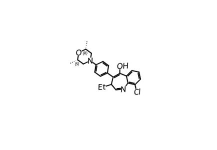 CCC1C=Nc2c(Cl)cccc2C(O)=C1c1ccc(N2C[C@@H](C)O[C@@H](C)C2)cc1